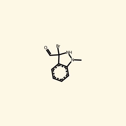 CN1NC(Br)(C=O)c2ccccc21